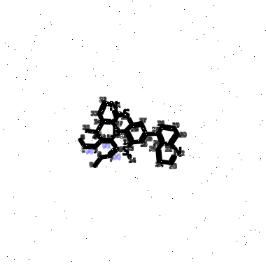 C\C=C/C(C)=C(\C=C/CC)B1c2c(SC)cc(-c3cccc4ncccc34)cc2Sc2nccc(CC)c21